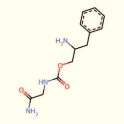 NC(=O)CNC(=O)OCC(N)Cc1ccccc1